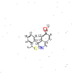 CCSc1ncc2ccc(OC)cc2c1-c1ccccc1